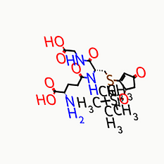 CC(C)(C)[Si](C)(C)O[C@H]1CC(=O)C=C1SC[C@H](NC(=O)CC[C@H](N)C(=O)O)C(=O)NCC(=O)O